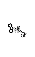 CC(=O)[C@@H](C)CCCNC(=O)OCC1c2ccccc2-c2ccccc21